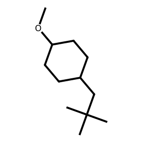 COC1CCC(CC(C)(C)C)CC1